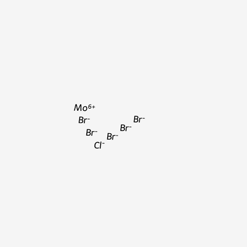 [Br-].[Br-].[Br-].[Br-].[Br-].[Cl-].[Mo+6]